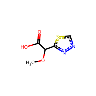 COC(C(=O)O)c1nn[c]s1